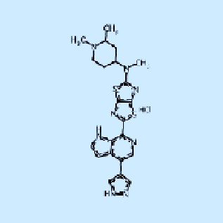 CC1CC(N(C)c2nc3sc(-c4ncc(-c5cn[nH]c5)c5cc[nH]c45)nc3s2)CCN1C.Cl